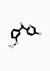 COc1cccc(C(=O)c2[c]cc(Cl)cn2)c1